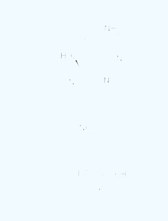 C[C@@H]1N=C(c2ccccc2[N+](=O)[O-])c2cc(C#C[Si](C)(C)C)ccc2-n2cnc(C(N)=O)c21